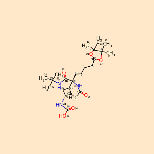 CC(=O)N[C@@](CCCCB1OC(C)(C)C(C)(C)O1)(C(=O)NC(C)(C)C)[C@H]1C[C@H](NC(=O)O)C1